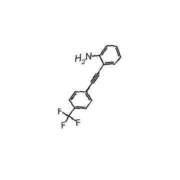 Nc1ccccc1C#Cc1ccc(C(F)(F)F)cc1